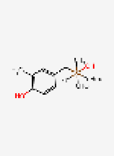 CCCCCCS(C)(O)(C=O)(CC)Cc1ccc(O)c(C)c1